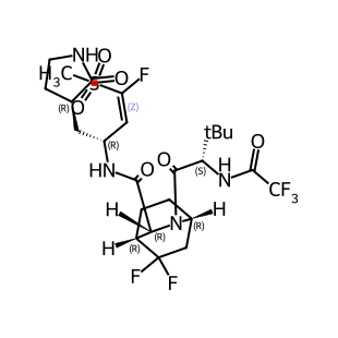 CC(C)(C)[C@H](NC(=O)C(F)(F)F)C(=O)N1[C@@H]2CC[C@H]([C@@H]1C(=O)N[C@@H](/C=C(/F)S(C)(=O)=O)C[C@H]1CCNC1=O)C(F)(F)C2